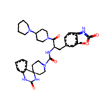 O=C1Nc2ccccc2C2(CCN(C(=O)NC(Cc3ccc4[nH]c(=O)oc4c3)C(=O)N3CCC(N4CCCCC4)CC3)CC2)N1